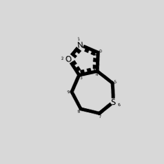 c1noc2c1CSCCC2